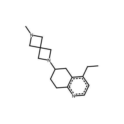 CCc1ccnc2c1CC(N1CC3(CN(C)C3)C1)CC2